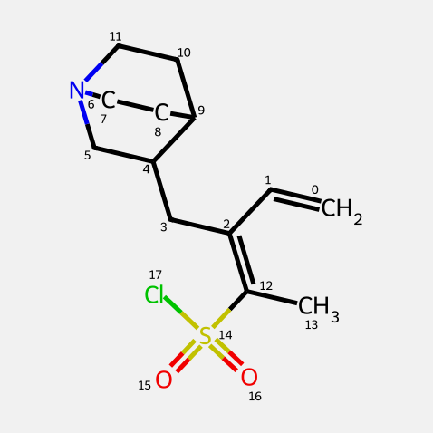 C=C/C(CC1CN2CCC1CC2)=C(\C)S(=O)(=O)Cl